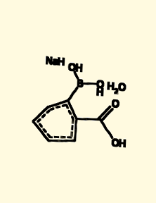 O.O=C(O)c1ccccc1B(O)O.[NaH]